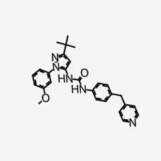 COc1cccc(-n2nc(C(C)(C)C)cc2NC(=O)Nc2ccc(Cc3ccncc3)cc2)c1